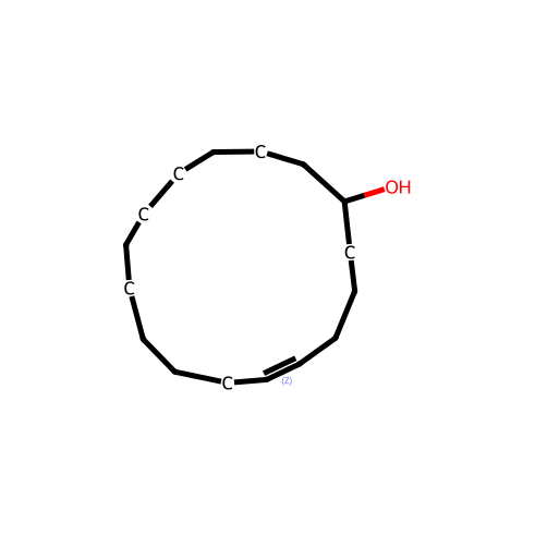 OC1CCC/C=C\CCCCCCCCCC1